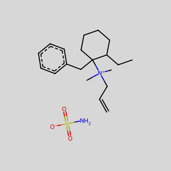 C=CC[N+](C)(C)C1(Cc2ccccc2)CCCCC1CC.NS(=O)(=O)[O-]